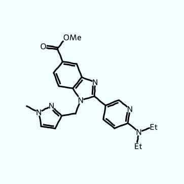 CCN(CC)c1ccc(-c2nc3cc(C(=O)OC)ccc3n2Cc2ccn(C)n2)cn1